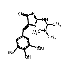 CC(NC1=NC(=O)C(=Cc2cc(C(C)(C)C)c(O)c(C(C)(C)C)c2)S1)N(C)C